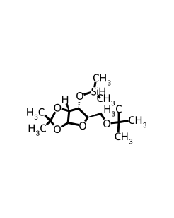 C[SiH](C)O[C@@H]1[C@@H](COC(C)(C)C)OC2OC(C)(C)O[C@@H]21